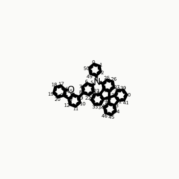 c1ccc(N(c2ccc(-c3cccc4c3oc3ccccc34)cc2)c2cccc3c2-c2ccccc2C32c3ccccc3-c3ccccc32)cc1